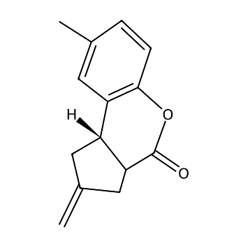 C=C1CC2C(=O)Oc3ccc(C)cc3[C@H]2C1